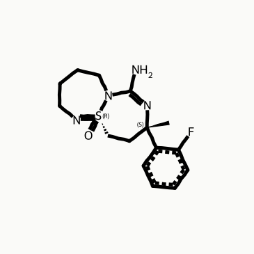 C[C@@]1(c2ccccc2F)CC[S@]2(=O)=NCCCCN2C(N)=N1